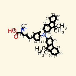 [C-]#[N+]/C(=C\C=C\c1ccc(N(c2ccc3c(c2)C(C)(C)c2ccccc2-3)c2ccc3c(c2)C(C)(C)c2ccccc2-3)cc1)C(=O)O